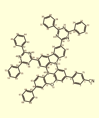 N#Cc1ccc(-c2cc3c4c(c2)-n2c5ccc(-c6nc(-c7ccccc7)nc(-c7ccccc7)n6)cc5c5cc(-c6nc(-c7ccccc7)nc(-c7ccccc7)n6)cc(c52)B4c2ccc(-c4ccccc4)cc2O3)cc1